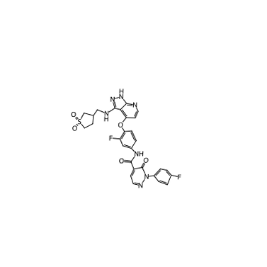 O=C(Nc1ccc(Oc2ccnc3[nH]nc(NCC4CCS(=O)(=O)C4)c23)c(F)c1)c1ccnn(-c2ccc(F)cc2)c1=O